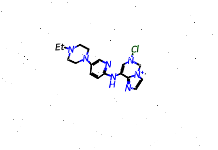 CCN1CCN(c2ccc(NC3=CN(Cl)C[N+]4C=CN=C34)nc2)CC1